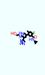 Cc1cc(F)c(C(=O)NC2CC2)cc1-c1cnc(NCCO)c(-c2cnn(C)n2)c1